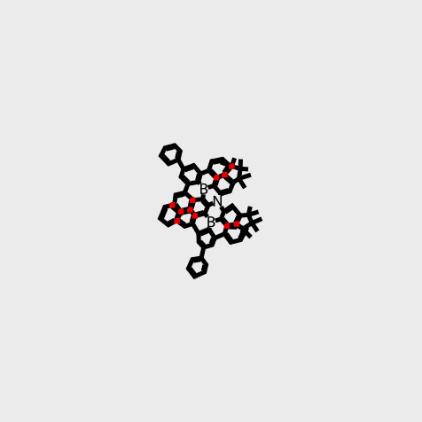 CC1(C)c2cc3c(cc2C(C)(C)C1(C)C)N1c2cc4c(cc2B(c2c(-c5ccccc5)cc(-c5ccccc5)cc2-c2ccccc2)c2cc(-c5ccccc5)cc(c21)B3c1c(-c2ccccc2)cc(-c2ccccc2)cc1-c1ccccc1)C(C)(C)C(C)(C)C4(C)C